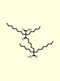 CCCCCCCCC(CCCCCC)(CCCCCC(=O)C(CCCCCC)(CCCCCCCC)C(=O)O)C(=O)O